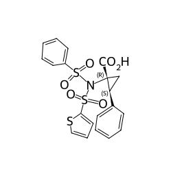 O=C(O)[C@@]1(N(S(=O)(=O)c2ccccc2)S(=O)(=O)c2cccs2)C[C@H]1c1ccccc1